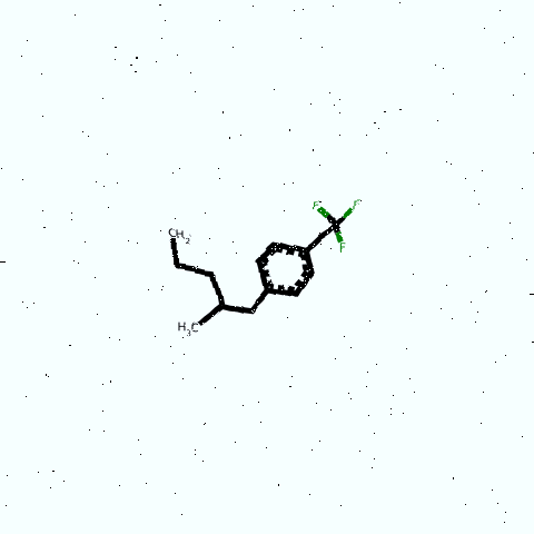 [CH2]CCC(C)Cc1ccc(C(F)(F)F)cc1